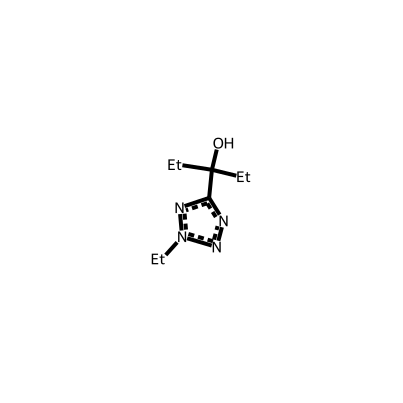 CCn1nnc(C(O)(CC)CC)n1